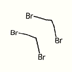 BrCBr.BrCBr